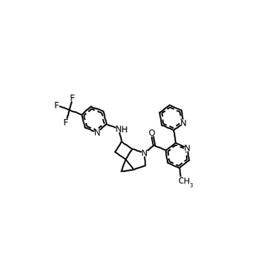 Cc1cnc(-c2ccccn2)c(C(=O)N2CC3CC34CC(Nc3ccc(C(F)(F)F)cn3)C24)c1